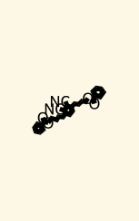 N#Cc1c(CCCCOC(=O)c2ccccc2)ccc(CCCCOC(=O)c2ccccc2)c1C#N